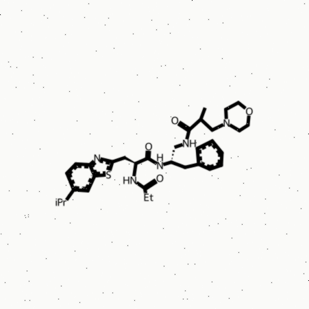 CCC(=O)N[C@@H](Cc1nc2ccc(C(C)C)cc2s1)C(=O)N[C@H](CNC(=O)C(C)CN1CCOCC1)Cc1ccccc1